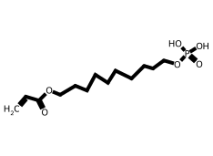 C=CC(=O)OCCCCCCCCCCOP(=O)(O)O